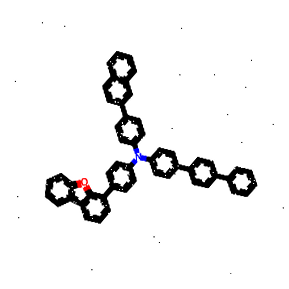 c1ccc(-c2ccc(-c3ccc(N(c4ccc(-c5ccc6ccccc6c5)cc4)c4ccc(-c5cccc6c5oc5ccccc56)cc4)cc3)cc2)cc1